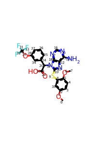 COc1ccc(OC)c(Sc2nc3c(N)ncnc3n2C(C(=O)O)c2cccc(OC(F)(F)F)c2)c1